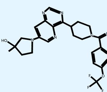 CC1(O)CCN(c2cnc3c(C4CCN(C(=O)c5ccc(OC(F)(F)F)cc5)CC4)ncnc3c2)C1